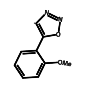 COc1ccccc1-c1[c]nno1